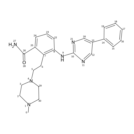 CN1CCN(CCc2c(Nc3ncc(-c4ccccc4)cn3)cccc2C(N)=O)CC1